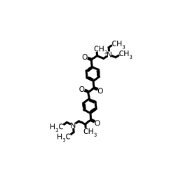 CCN(CC)CC(C)C(=O)c1ccc(C(=O)C(=O)c2ccc(C(=O)C(C)CN(CC)CC)cc2)cc1